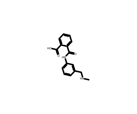 CNCc1cccc(NC(=O)c2ccccc2C(=O)O)c1